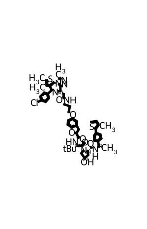 Cc1ccsc1-c1ccc([C@H](C)NC(=O)[C@@H]2C[C@@H](O)CN2C(=O)[C@@H](NC(=O)C2Cc3cc(OCCCNC(=O)C[C@@H]4N=C(c5ccc(Cl)cc5)c5c(sc(C)c5C)-n5c(C)nnc54)ccc3O2)C(C)(C)C)cc1